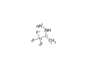 CCCNC(C)C(F)(F)F